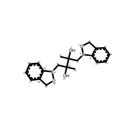 CC(O)(CB1OCc2ccccc21)C(C)(O)CB1OCc2ccccc21